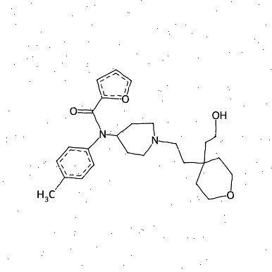 Cc1ccc(N(C(=O)c2ccco2)C2CCN(CCC3(CCO)CCOCC3)CC2)cc1